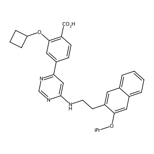 CC(C)Oc1cc2ccccc2cc1CCNc1cc(-c2ccc(C(=O)O)c(OC3CCC3)c2)ncn1